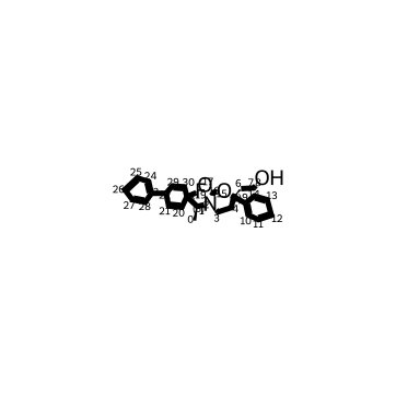 C[C@H](N1CC[C@](CCO)(c2ccccc2)OC1=O)C1(F)C=CC(c2ccccc2)C=C1